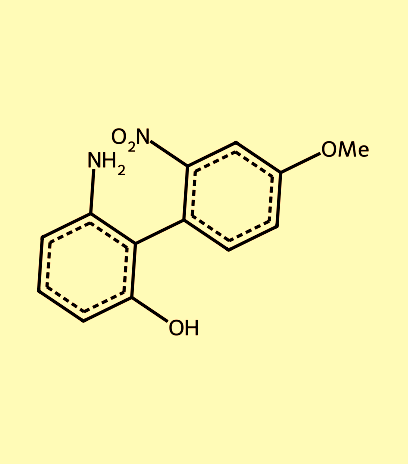 COc1ccc(-c2c(N)cccc2O)c([N+](=O)[O-])c1